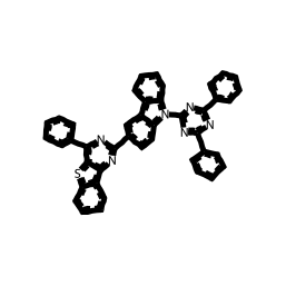 c1ccc(-c2nc(-c3ccccc3)nc(-n3c4ccccc4c4cc(-c5nc(-c6ccccc6)c6sc7ccccc7c6n5)ccc43)n2)cc1